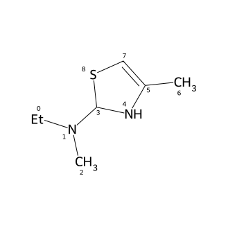 CCN(C)C1NC(C)=CS1